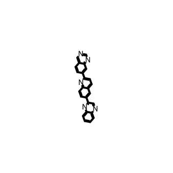 c1ccc2nc(-c3ccc4nc(-c5ccc6cncnc6c5)ccc4c3)cnc2c1